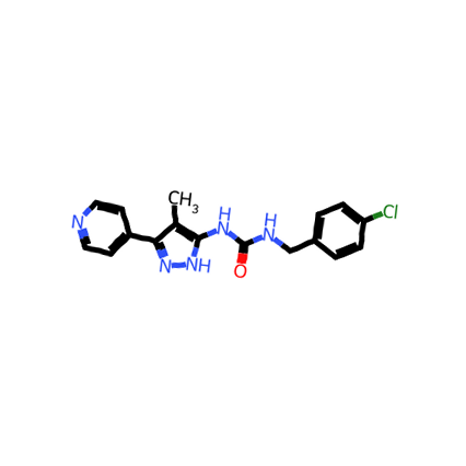 Cc1c(-c2ccncc2)n[nH]c1NC(=O)NCc1ccc(Cl)cc1